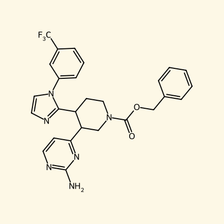 Nc1nccc(C2CN(C(=O)OCc3ccccc3)CCC2c2nccn2-c2cccc(C(F)(F)F)c2)n1